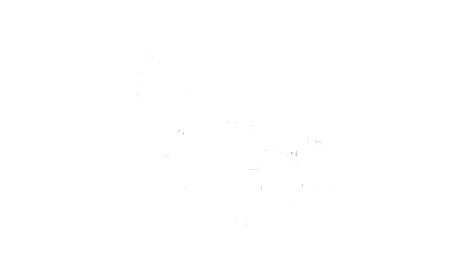 CC1CC(=O)N(C)c2ccc(-n3c(=O)ccc4ccccc43)cc21